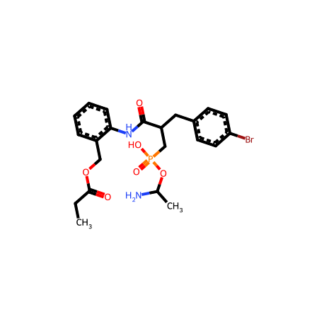 CCC(=O)OCc1ccccc1NC(=O)C(Cc1ccc(Br)cc1)CP(=O)(O)OC(C)N